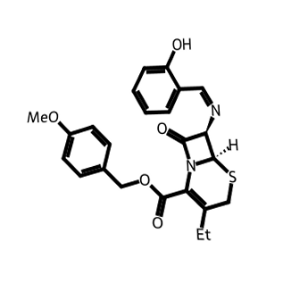 CCC1=C(C(=O)OCc2ccc(OC)cc2)N2C(=O)[C@@H](/N=C\c3ccccc3O)[C@H]2SC1